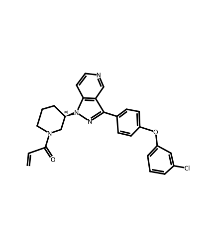 C=CC(=O)N1CCC[C@@H](n2nc(-c3ccc(Oc4cccc(Cl)c4)cc3)c3cnccc32)C1